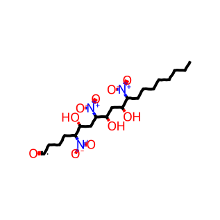 CCCCCCCCC(C(O)CC(O)C(CC(O)C(CCC[C]=O)[N+](=O)[O-])[N+](=O)[O-])[N+](=O)[O-]